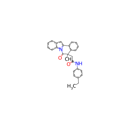 CCc1ccc(NC(=O)CC2(C)C(=O)n3c(cc4ccccc43)-c3ccccc32)cc1